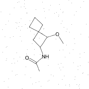 COC1C(NC(C)=O)CC12CCC2